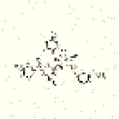 CCc1cccc(CNC[C@@H](O)[C@H](Cc2cc(F)cc(F)c2)NC(=O)c2cc(C)cc(C(=O)N3CCCC(O)C3)c2)c1